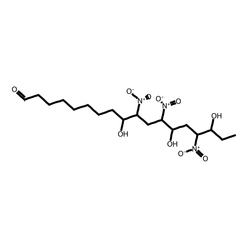 CCC(O)C(CC(O)C(CC(C(O)CCCCCCC[C]=O)[N+](=O)[O-])[N+](=O)[O-])[N+](=O)[O-]